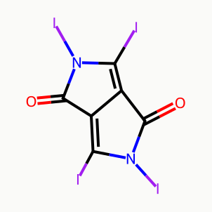 O=C1C2=C(I)N(I)C(=O)C2=C(I)N1I